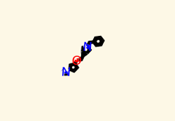 CN(C)C1CCC(OCC2C3CN(Cc4ccccc4)CC23)C1